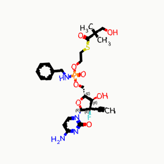 C#C[C@@]1(F)[C@H](O)[C@@H](COP(=O)(NCc2ccccc2)OCCSC(=O)C(C)(C)CO)O[C@H]1n1ccc(N)nc1=O